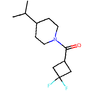 CC(C)C1CCN(C(=O)C2CC(F)(F)C2)CC1